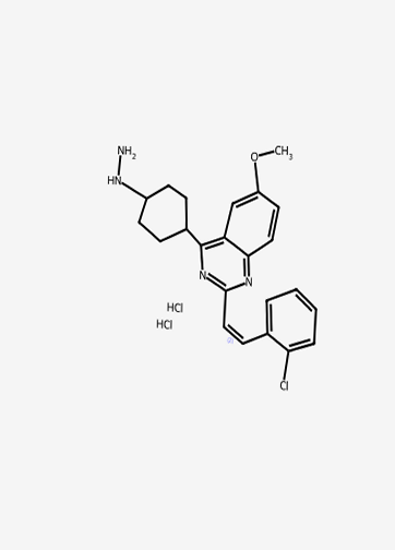 COc1ccc2nc(/C=C\c3ccccc3Cl)nc(C3CCC(NN)CC3)c2c1.Cl.Cl